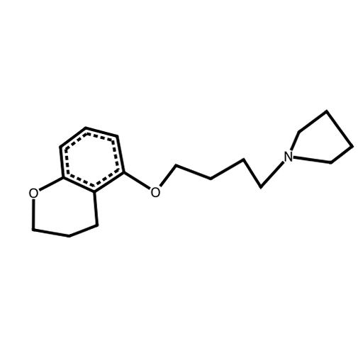 c1cc(OCCCCN2CCCC2)c2c(c1)OCCC2